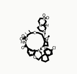 CO[C@]1(CN2CCN3CCS(=O)(=O)C[C@@H]3C2)CCC[C@H](C)[C@@H](C)S(=O)(=O)NC(=O)c2ccc3c(c2)N(C[C@@H]2CC[C@H]21)C[C@@]1(CCCc2cc(Cl)ccc21)CO3